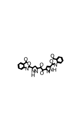 O=C(C(=O)c1cc(-c2nc3ccccc3c(=O)o2)[nH]n1)C1=NNC(c2nc3ccccc3c(=O)o2)C1